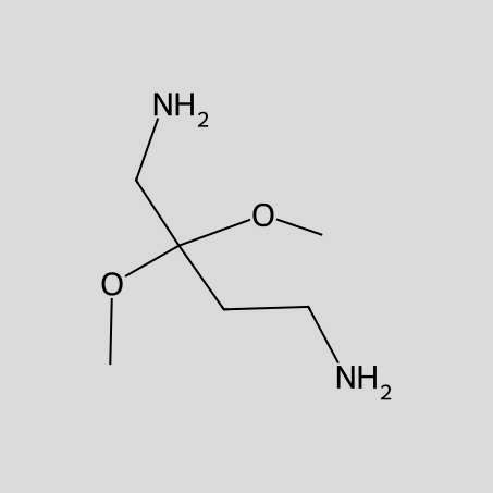 COC(CN)(CCN)OC